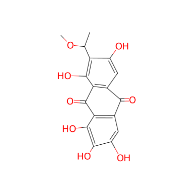 COC(C)c1c(O)cc2c(c1O)C(=O)c1c(cc(O)c(O)c1O)C2=O